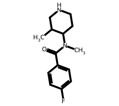 CC1CNCCC1N(C)C(=O)c1ccc(F)cc1